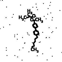 CCCCCCCc1ccc(-c2ccc(C(C)OC(=O)C(C)CC)cc2)cc1